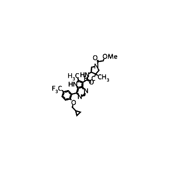 COCC(=O)N1CC(NC(=O)c2c(C)[nH]c3c(-c4cc(C(F)(F)F)ccc4OCC4CC4)ncnc23)C(C)(C)C1